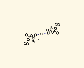 CC1(C)c2cc(/C=C/c3ccc(/C=C/c4ccc5c(c4)C(C)(C)c4cc(N(c6ccccc6)c6ccc(-c7cccc8ccccc78)cc6)ccc4-5)cc3)ccc2-c2ccc(N(c3ccccc3)c3ccc(-c4cccc5ccccc45)cc3)cc21